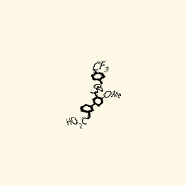 COc1ccc(-c2cccc(CC(=O)O)c2)cc1/C(C)=N/OCc1ccc(C(F)(F)F)cc1